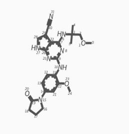 COCC(C)(C)Nc1nc(Nc2ccc(N3CCCC3=O)cc2OC)nc2[nH]cc(C#N)c12